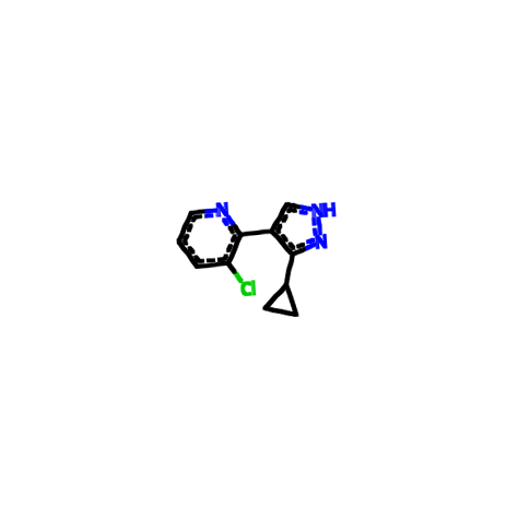 Clc1cccnc1-c1c[nH]nc1C1CC1